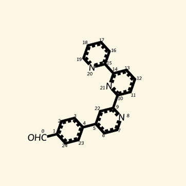 O=Cc1ccc(-c2ccnc(-c3cccc(-c4ccccn4)n3)c2)cc1